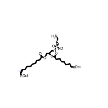 CCCCCCCC/C=C\CCCCCCCC(=O)OCC(COP(=O)(N=O)OCCN)OC(=O)CCCCCCCCCCCCCCCCC